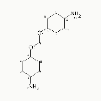 NC1CCC(OCOC2CCC(N)CC2)CC1